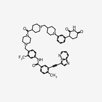 Cc1ccc(C(=O)Nc2ccc(CN3CCN(C(=O)C4CCN(CC5CCN(c6cccc(C7CCC(=O)NC7=O)c6)CC5)CC4)CC3)c(C(F)(F)F)c2)cc1C#Cc1cnc2cccnn12